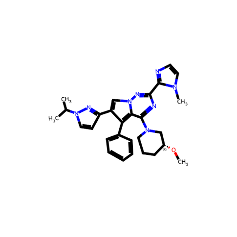 CO[C@@H]1CCCN(c2nc(-c3nccn3C)nn3cc(-c4ccn(C(C)C)n4)c(-c4ccccc4)c23)C1